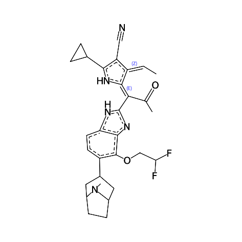 C/C=c1/c(C#N)c(C2CC2)[nH]/c1=C(/C(C)=O)c1nc2c(OCC(F)F)c(C3CC4CCC(C3)N4C)ccc2[nH]1